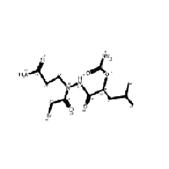 CC(C)C[C@H](OC(N)=O)C(=O)NN(CCC(N)=O)C(=O)CBr